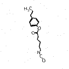 CCCc1ccc(OC(=O)CCCCCN=C=O)cc1